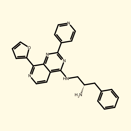 N[C@H](CNc1nc(-c2ccncc2)nc2c(-c3ccco3)nccc12)Cc1ccccc1